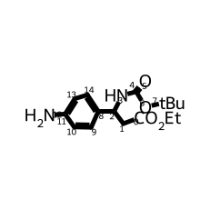 CCOC(=O)CC(NC(=O)OC(C)(C)C)c1ccc(N)cc1